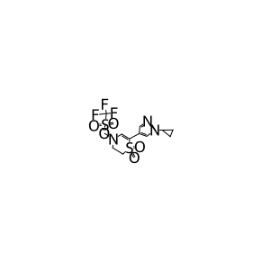 O=S1(=O)CCN(OS(=O)(=O)C(F)(F)F)C=C1c1cnn(C2CC2)c1